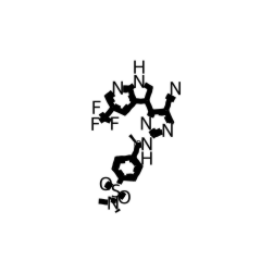 C[C@@H](Nc1ncc(C#N)c(C2CNc3ncc(C(F)(F)F)cc32)n1)c1ccc(S(=O)(=O)N(C)C)cc1